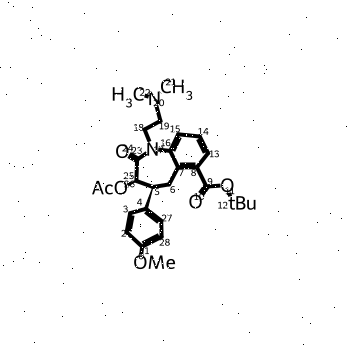 COc1ccc([C@@H]2Cc3c(C(=O)OC(C)(C)C)cccc3N(CCN(C)C)C(=O)[C@@H]2OC(C)=O)cc1